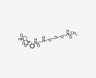 CC(=O)NCCOCCOCCOCCNCCC(=O)Nc1cccc2c1CN(C1CCC(=O)NC1=O)C2=O